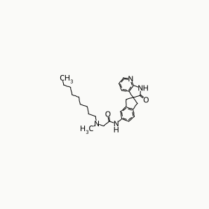 CCCCCCCCCN(C)CC(=O)Nc1ccc2c(c1)CC1(C2)C(=O)Nc2ncccc21